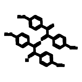 COc1ccc(C(=S)C(=S)c2ccc(OC)cc2)cc1.COc1ccc(C(=S)C(=S)c2ccc(OC)cc2)cc1.[Ni]